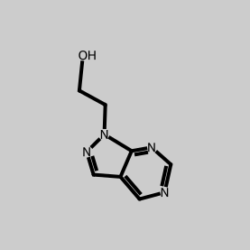 OCCn1ncc2cncnc21